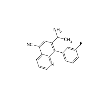 CC(N)c1cc(C#N)c2cccnc2c1-c1cccc(F)c1